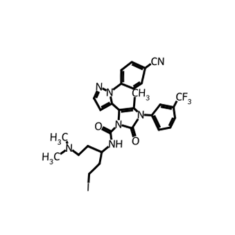 Cc1c(-c2ccnn2-c2ccc(C#N)cc2)n(C(=O)NC(CCI)CCN(C)C)c(=O)n1-c1cccc(C(F)(F)F)c1